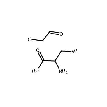 NC(CS)C(=O)O.O=CCCl